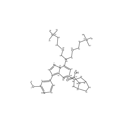 COc1cc(-c2cnn3c(N(COCC[Si](C)(C)C)COCC[Si](C)(C)C)cc(C4CC5CCC(C4)N5C(=O)O)nc23)ccn1